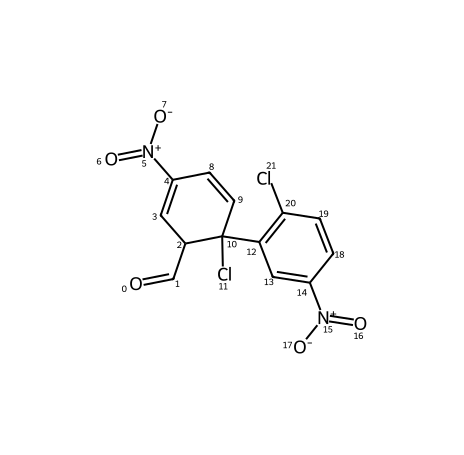 O=CC1C=C([N+](=O)[O-])C=CC1(Cl)c1cc([N+](=O)[O-])ccc1Cl